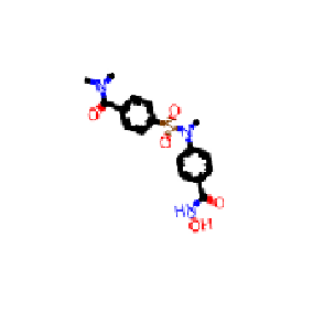 CN(C)C(=O)c1ccc(S(=O)(=O)N(C)c2ccc(C(=O)NO)cc2)cc1